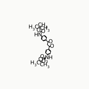 CC(C)(C)OC(=O)Nc1ccc(C(=O)CC(=O)c2ccc(NC(=O)OC(C)(C)C)cc2)cc1